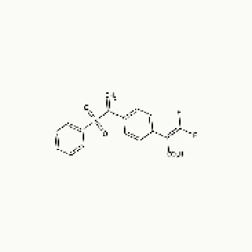 C=C(c1ccc(C(C(=O)O)=C(F)F)cc1)S(=O)(=O)c1ccccc1